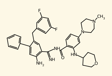 CN1CCN(c2ccc(C(=O)NC(=N)c3cc(Cc4cc(F)cc(F)c4)c(-c4ccccc4)cc3N)c(NC3CCOCC3)c2)CC1